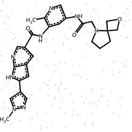 Cc1ncc(NC(=O)CN2CCCC23COC3)cc1NC(=O)c1cnc2[nH]c(-c3cnn(C)c3)cc2c1